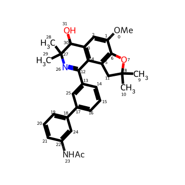 COc1cc2c(c3c1OC(C)(C)C3)C(c1cccc(-c3cccc(NC(C)=O)c3)c1)=NC(C)(C)C2O